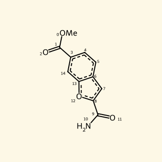 COC(=O)c1ccc2cc(C(N)=O)oc2c1